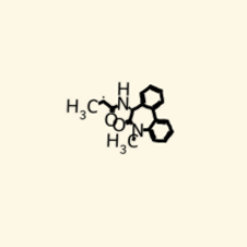 C[CH]C(=O)N[C@@H]1C(=O)N(C)c2ccccc2-c2ccccc21